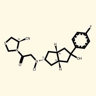 N#C[C@@H]1CSCN1C(=O)CN(Cl)[C@@H]1C[C@@H]2CC(O)(c3ccc(F)cc3)C[C@@H]2C1